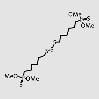 COP(=S)(CCCCCCSSSCCCCCCP(=S)(OC)OC)OC